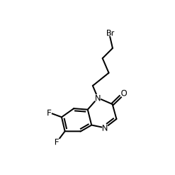 O=c1cnc2cc(F)c(F)cc2n1CCCCBr